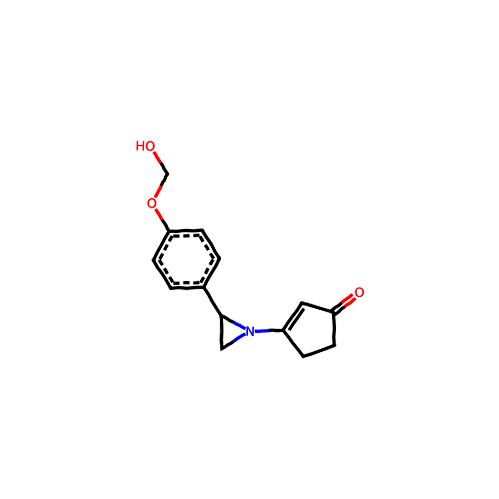 O=C1C=C(N2CC2c2ccc(OCO)cc2)CC1